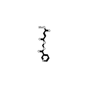 COC(=O)/C=C/C(=O)OCOC(=O)c1cccnc1